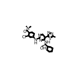 Cc1nnc(-c2cnc(Nc3ccc(C(=O)N(C)C)c(Cl)c3)nc2N[C@H](CO)c2ccccc2)s1